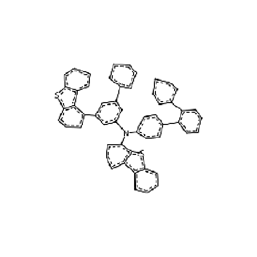 c1ccc(-c2cc(-c3cccc4sc5ccccc5c34)cc(N(c3ccc(-c4ccccc4-c4ccccc4)cc3)c3cccc4c3sc3ccccc34)c2)cc1